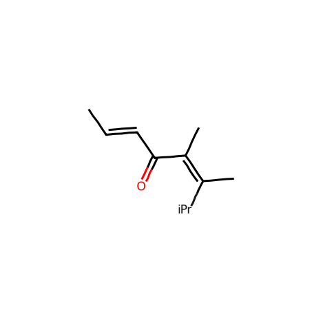 CC=CC(=O)C(C)=C(C)C(C)C